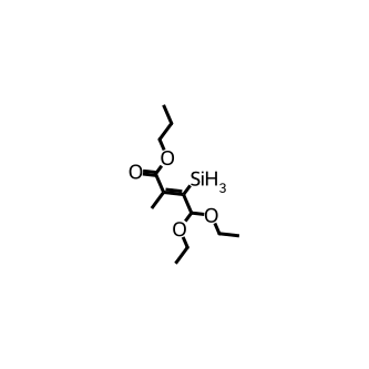 CCCOC(=O)C(C)=C([SiH3])C(OCC)OCC